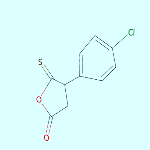 O=C1CC(c2ccc(Cl)cc2)C(=S)O1